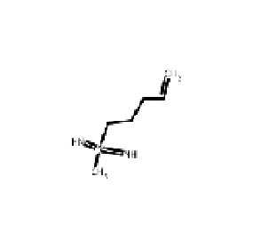 C=CCCCS(C)(=N)=N